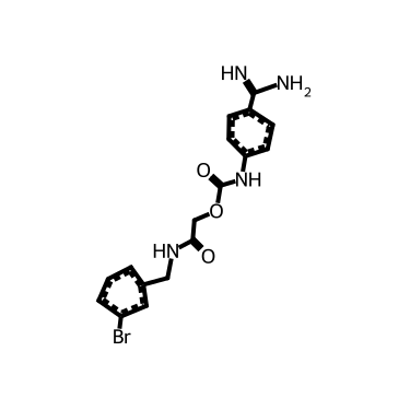 N=C(N)c1ccc(NC(=O)OCC(=O)NCc2cccc(Br)c2)cc1